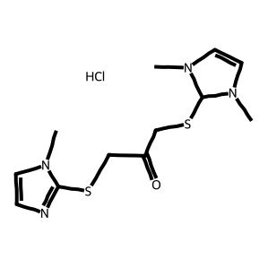 CN1C=CN(C)C1SCC(=O)CSc1nccn1C.Cl